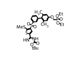 CCOP(=O)(COc1cc(C)c(-c2cccc(S(=O)(=O)c3cc(C(=N)NC(=O)OC(C)(C)C)sc3SC)c2)c(C)c1)OCC